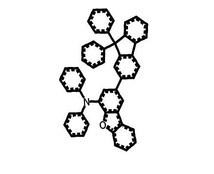 c1ccc(N(c2ccccc2)c2cc(-c3ccc4c(c3)C(c3ccccc3)(c3ccccc3)c3ccccc3-4)cc3c2oc2ccccc23)cc1